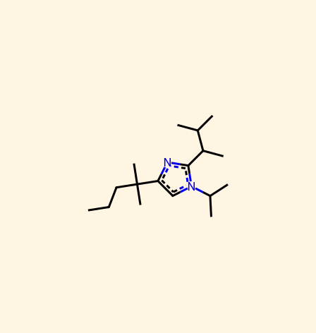 CCCC(C)(C)c1cn(C(C)C)c(C(C)C(C)C)n1